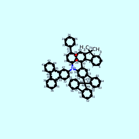 CC1(C)c2ccccc2-c2c(-c3cc4c(cc3N(c3ccc(-c5ccccc5)cc3)c3ccc5c6ccccc6c6ccccc6c5c3)C3(c5ccccc5-c5ccccc53)c3ccccc3-4)cccc21